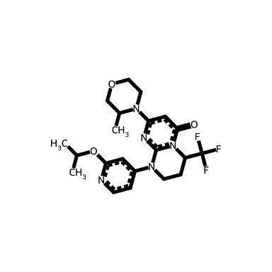 CC(C)Oc1cc(N2CCC(C(F)(F)F)n3c2nc(N2CCOCC2C)cc3=O)ccn1